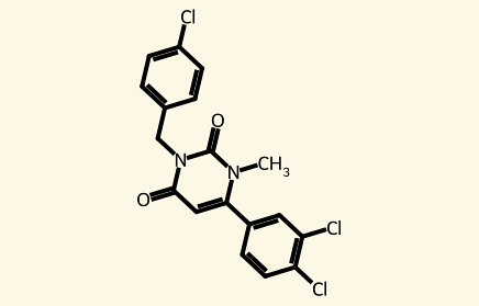 Cn1c(-c2ccc(Cl)c(Cl)c2)cc(=O)n(Cc2ccc(Cl)cc2)c1=O